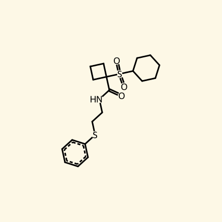 O=C(NCCSc1ccccc1)C1(S(=O)(=O)C2CCCCC2)CCC1